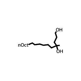 CCCCCCCCCCCCCCC(C)(O)CCCO